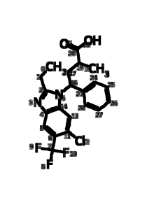 CCc1nc2cc(C(F)(F)F)c(Cl)cc2n1C(CC(C)C(=O)O)c1ccccc1